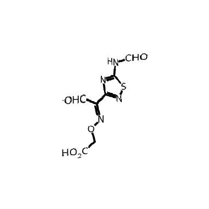 O=[C]/C(=N\OCC(=O)O)c1nsc(NC=O)n1